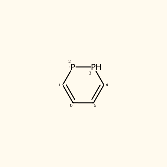 C1=C[P]PC=C1